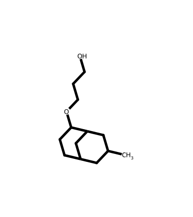 CC1CC2CCC(OCCCO)C(C1)C2